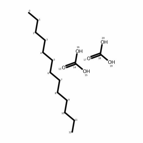 CCCCCCCCCCCCC.O=C(O)O.O=C(O)O